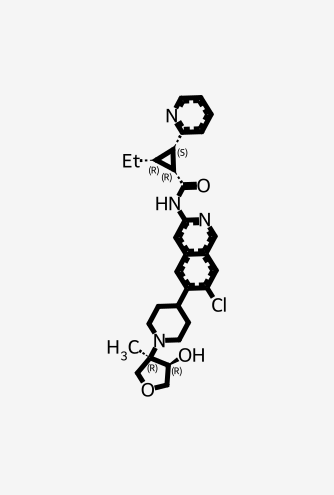 CC[C@H]1[C@@H](C(=O)Nc2cc3cc(C4CCN([C@]5(C)COC[C@@H]5O)CC4)c(Cl)cc3cn2)[C@H]1c1ccccn1